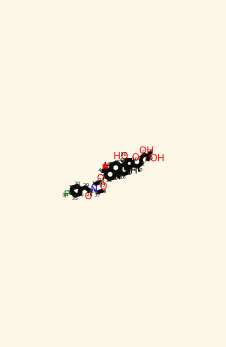 C[C@@H]1CC(C(O)C(C)(C)O)OC2[C@H]1C1(C)CCC34CC35CCC(O[C@H]3CN(C(=O)Cc6ccc(F)cc6)CCO3)C(C)(C)[C@@H]5CCC4[C@]1(C)[C@H]2O